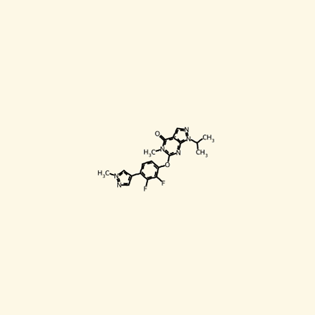 CC(C)n1ncc2c(=O)n(C)c(Oc3ccc(-c4cnn(C)c4)c(F)c3F)nc21